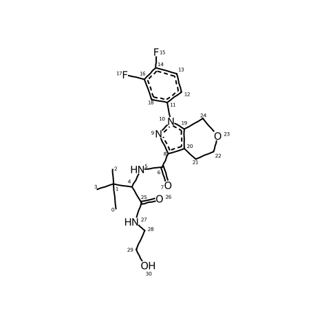 CC(C)(C)C(NC(=O)c1nn(-c2ccc(F)c(F)c2)c2c1CCOC2)C(=O)NCCO